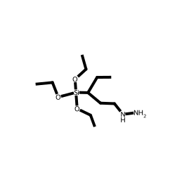 CCO[Si](OCC)(OCC)C(CC)CCNN